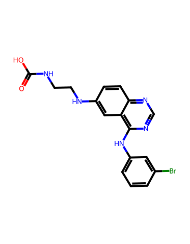 O=C(O)NCCNc1ccc2ncnc(Nc3cccc(Br)c3)c2c1